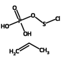 C=CC.O=P(O)(O)OSCl